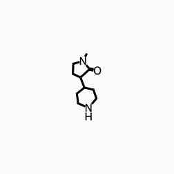 CN1CCC(C2CCNCC2)C1=O